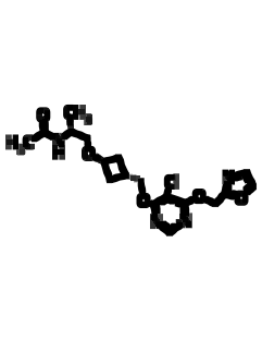 CC(=O)N[C@@H](C)CO[C@H]1C[C@H](COc2ncnc(OCc3ncco3)c2Cl)C1